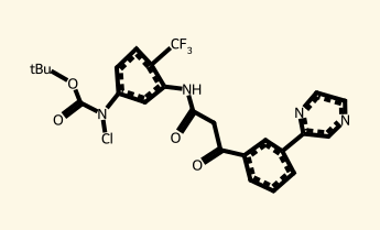 CC(C)(C)OC(=O)N(Cl)c1ccc(C(F)(F)F)c(NC(=O)CC(=O)c2cccc(-c3cnccn3)c2)c1